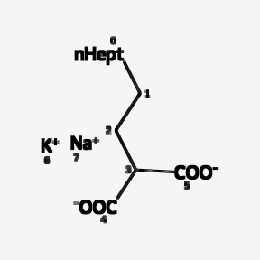 CCCCCCCCCC(C(=O)[O-])C(=O)[O-].[K+].[Na+]